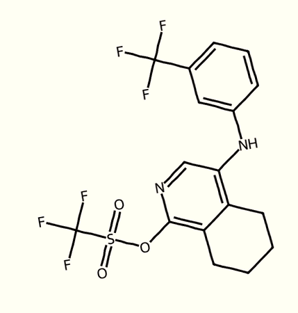 O=S(=O)(Oc1ncc(Nc2cccc(C(F)(F)F)c2)c2c1CCCC2)C(F)(F)F